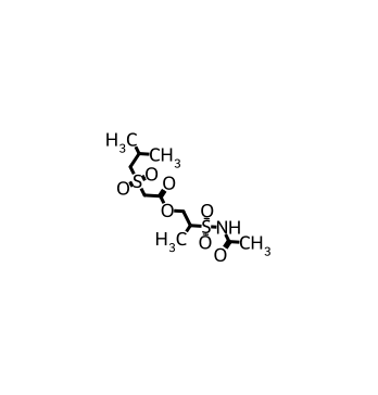 CC(=O)NS(=O)(=O)C(C)COC(=O)CS(=O)(=O)CC(C)C